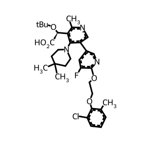 Cc1cccc(Cl)c1OCCOc1ncc(-c2cnc(C)c([C@H](OC(C)(C)C)C(=O)O)c2N2CCC(C)(C)CC2)cc1F